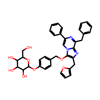 OCC1OC(Oc2ccc(COc3c(Cc4ccco4)nc4c(Cc5ccccc5)nc(-c5ccccc5)cn34)cc2)C(O)C(O)C1O